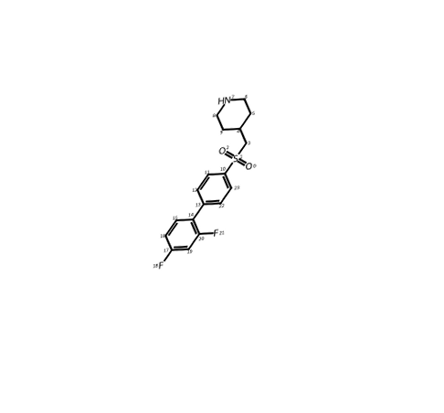 O=S(=O)(CC1CCNCC1)c1ccc(-c2ccc(F)cc2F)cc1